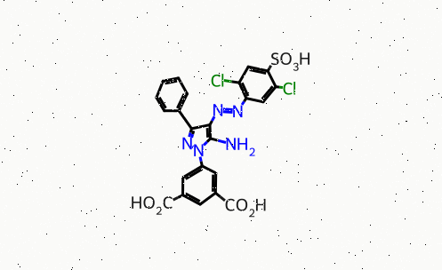 Nc1c(/N=N/c2cc(Cl)c(S(=O)(=O)O)cc2Cl)c(-c2ccccc2)nn1-c1cc(C(=O)O)cc(C(=O)O)c1